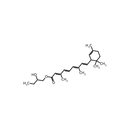 CCC(O)COC(=O)/C=C(C)/C=C/C=C(C)/C=C/C1C=C(C)CCC1(C)C